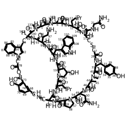 CCCC[C@H]1C(=O)N(C)[C@@H](CCCC)C(=O)N[C@@H](CC(C)C)C(=O)N[C@H](C(=O)NCC(N)=O)CSCC(=O)N[C@@H](Cc2ccc(O)cc2)C(=O)N(C)[C@@H](C)C(=O)N[C@@H](CC(N)=O)C(=O)N2CCC[C@H]2C(=O)N[C@H]2CNCc3ccc(Cl)c(c3)B(O)OC(=O)Cn3cc(c4ccccc43)C[C@H](NC(=O)[C@H](CCN)NC(=O)[C@H](Cc3c[nH]c4ccccc34)NC(=O)[C@@H]3C[C@@H](O)CN3C(=O)[C@H](CC(C)C)NC2=O)C(=O)N1C